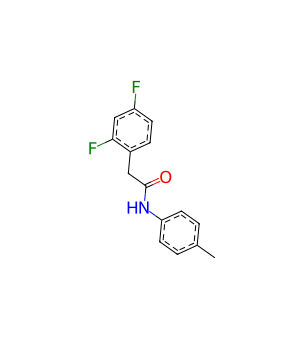 Cc1ccc(NC(=O)Cc2ccc(F)cc2F)cc1